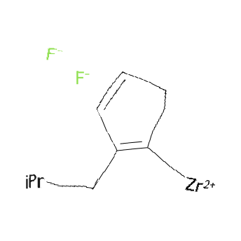 CC(C)CC1=[C]([Zr+2])CC=C1.[F-].[F-]